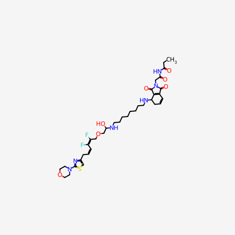 CCC(=O)NC(=O)CN1C(=O)C2=C(C1=O)C(NCCCCCCCCNC(O)COC/C(F)=C(F)\C=C/Cc1csc(N3CCOCC3)n1)CC=C2